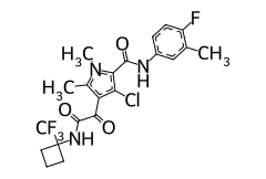 Cc1cc(NC(=O)c2c(Cl)c(C(=O)C(=O)NC3(C(F)(F)F)CCC3)c(C)n2C)ccc1F